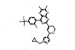 Cc1nc2nc(C3=CC(c4cnn(CC5CC5)c4)OCC3)nc(-c3ccc(C(F)(F)F)cc3F)c2nc1C